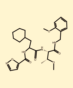 COc1ccccc1CNC(=O)[C@@H](NC(=O)C(CC1CCCCC1)NC(=O)c1ccno1)[C@@H](C)OC